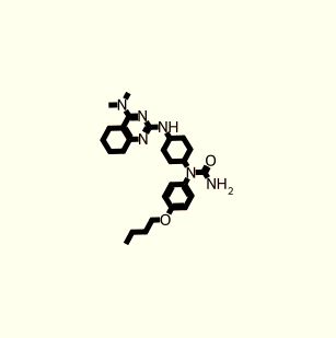 CCCCOc1ccc(N(C(N)=O)C2CCC(Nc3nc4c(c(N(C)C)n3)CCCC4)CC2)cc1